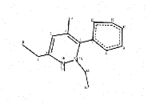 CCC1=CC(C)=C(c2ccccc2)N(CC)N1